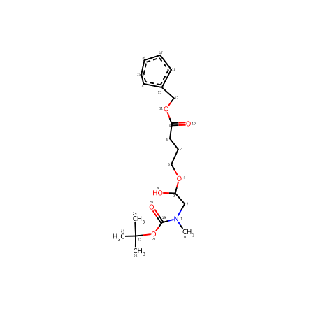 CN(CC(O)OCCCC(=O)OCc1ccccc1)C(=O)OC(C)(C)C